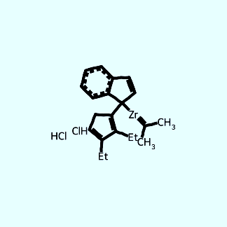 CCC1=CCC([C]2([Zr]=[C](C)C)C=Cc3ccccc32)=C1CC.Cl.Cl